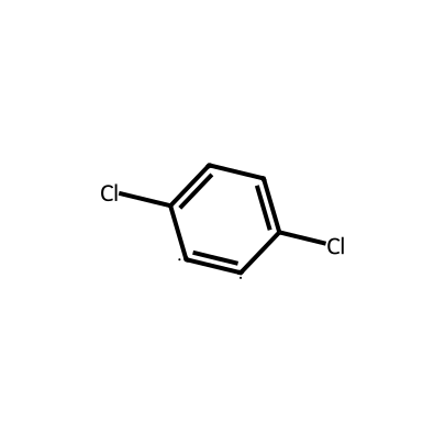 Clc1[c][c]c(Cl)cc1